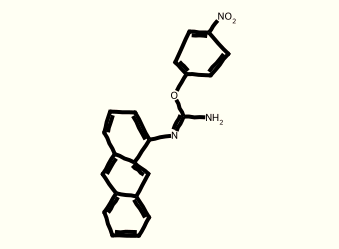 NC(=Nc1cccc2cc3ccccc3cc12)Oc1ccc([N+](=O)[O-])cc1